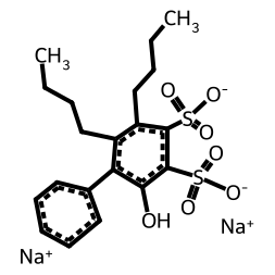 CCCCc1c(CCCC)c(S(=O)(=O)[O-])c(S(=O)(=O)[O-])c(O)c1-c1ccccc1.[Na+].[Na+]